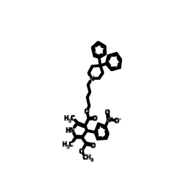 COC(=O)C1=C(C)NC(C)=C(C(=O)OCCCCN2CCC(c3ccccc3)(c3ccccc3)CC2)C1c1cccc([N+](=O)[O-])c1